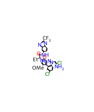 CCC(C(=O)Nc1ccc2nc(C(F)(F)F)cnc2c1)n1cc(OC)c(-c2cc(Cl)ccc2N(N)/C=C(\N)Cl)cc1=O